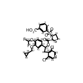 O=C(O)c1cccc(S(=O)(=O)N2CCS[C@H]2C(=O)OC(Cc2c(Cl)cncc2Cl)c2ccc(OC(F)F)c(OCC3CC3)c2)c1